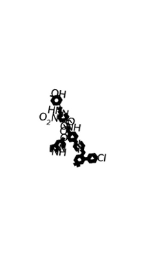 CC1(C)CCC(CN2CCN(c3ccc(C(=O)NS(=O)(=O)c4cnc(NC[C@H]5CC[C@@](C)(O)CC5)c([N+](=O)[O-])c4)c(Oc4cnc5[nH]ccc5c4)c3)CC2)=C(c2ccc(Cl)cc2)C1